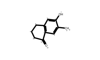 Cc1cc2c(cc1O)CCCC2=O